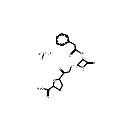 COC(=O)C1CCC(C(=O)CS[C@H]2NC(=O)[C@H]2NC(=O)Cc2ccccc2)O1.O=C([O-])O.[K+]